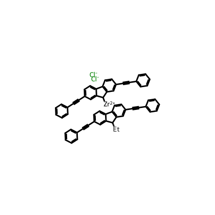 CCC1c2cc(C#Cc3ccccc3)ccc2-c2ccc(C#Cc3ccccc3)cc21.[Cl-].[Cl-].[Zr+2][CH]1c2cc(C#Cc3ccccc3)ccc2-c2ccc(C#Cc3ccccc3)cc21